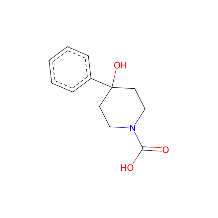 O=C(O)N1CCC(O)(c2ccccc2)CC1